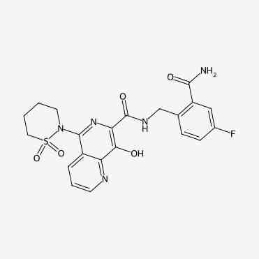 NC(=O)c1cc(F)ccc1CNC(=O)c1nc(N2CCCCS2(=O)=O)c2cccnc2c1O